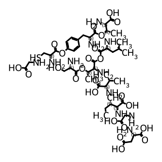 CC(C)C[C@H](N)C(=O)OC(=O)[C@@H](N)[C@@H](C)OC(=O)[C@@H](N)CO.CC(C)[C@H](N)C(=O)O.CC[C@H](C)[C@H](N)C(=O)O.C[C@@H](OC(=O)[C@@H](N)Cc1ccc(OC(=O)[C@@H](N)CS)cc1)[C@H](N)C(=O)O.NCC(=O)O.NCC(=O)O.N[C@@H](CC(=O)O)C(=O)O